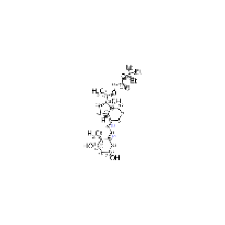 C=C1/C(=C\C=C2/CCC[C@]3(C)C(C(C)OCC(=O)OC(CC)(CC)CC)=CC[C@@H]23)C[C@@H](O)C[C@@H]1O